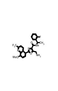 COc1ccc(-c2nc(C(=O)NC(C)c3ccccc3F)c(CN)o2)c2ccc(C(F)(F)F)nc12